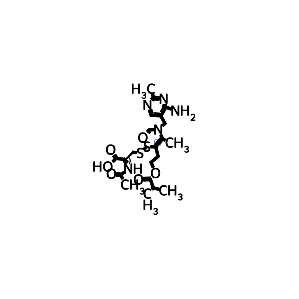 CC(=O)N[C@H](CSS/C(CCOC(=O)C(C)C)=C(/C)N(C=O)Cc1cnc(C)nc1N)C(=O)O